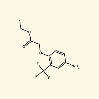 CCOC(=O)COc1ccc(N)cc1C(F)(F)F